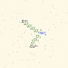 [Cl-].[Cl-].[Cl-].[Cl-].[Cl-].[Cl-].[Cl-].[Cu+2].[NH4+].[Zr+4]